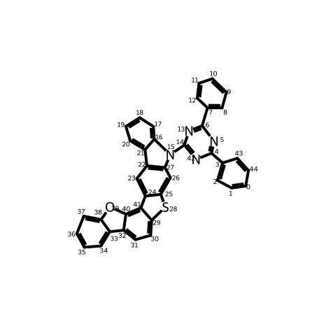 c1ccc(-c2nc(-c3ccccc3)nc(-n3c4ccccc4c4cc5c(cc43)sc3ccc4c6ccccc6oc4c35)n2)cc1